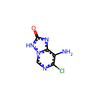 Nc1c(Cl)ncn2[nH]c(=O)nc12